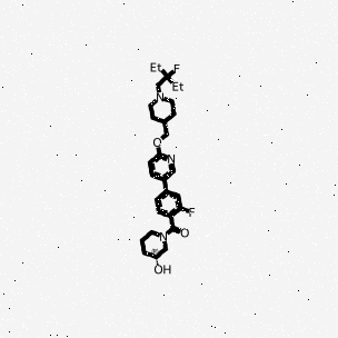 CCC(F)(CC)CN1CCC(COc2ccc(-c3ccc(C(=O)N4CCC[C@@H](O)C4)c(F)c3)cn2)CC1